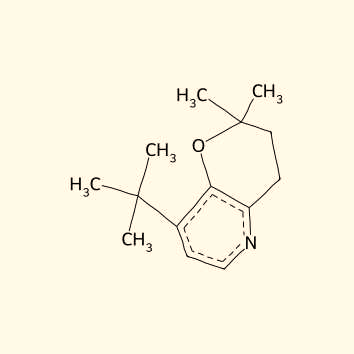 CC1(C)CCc2nccc(C(C)(C)C)c2O1